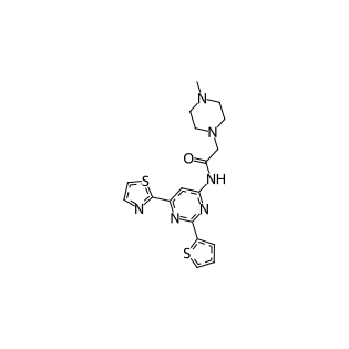 CN1CCN(CC(=O)Nc2cc(-c3nccs3)nc(-c3cccs3)n2)CC1